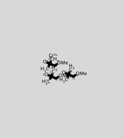 COCC(C)(C)[O-].COCC(C)(C)[O-].COCC(C)(C)[O-].[Cr+3]